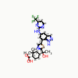 CC1(C)C[C@@H](C(C)(O)c2ncc(-c3cc(Nc4nccc(C(F)(F)F)n4)cc4cn[nH]c34)s2)CC[C@@H]1C(=O)O